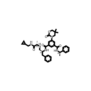 C[C@H](NC[C@H](Cc1ccccc1)NC(=O)c1cc(C(=O)N[C@H](C)c2ccccc2)cc(N2CC(C)(C)COC2=O)c1)C(=O)NCC1CC1